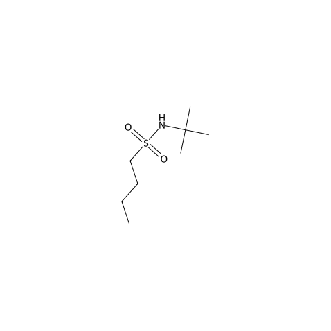 CCCCS(=O)(=O)NC(C)(C)C